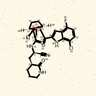 N#C[C@@H](C[C@@H]1CCCNC1=O)NC(=O)[C@@H]1[C@H]2CC[C@H](CC2(F)F)N1C(=O)c1cc2c(F)ccc(Cl)c2[nH]1